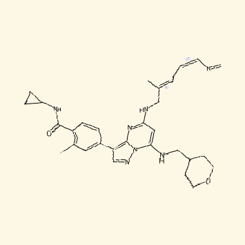 C=N/C=C\C=C(/C)CNc1cc(NCC2CCOCC2)n2ncc(-c3ccc(C(=O)NC4CC4)c(C)c3)c2n1